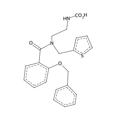 O=C(O)NCCN(Cc1cccs1)C(=O)c1ccccc1OCc1ccccc1